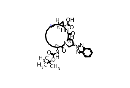 CC(C)(C)OC(=O)N[C@H]1CCCCC/C=C\[C@@H]2C[C@@]2(C(=O)O)NC(=O)[C@@H]2C[C@H](n3nc4ccccc4n3)CN2C1=O